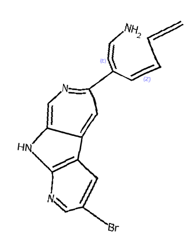 C=C/C=C\C(=C/N)c1cc2c(cn1)[nH]c1ncc(Br)cc12